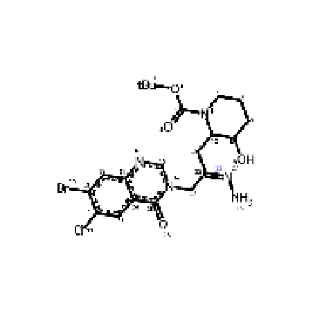 CC(C)(C)OC(=O)N1CCCC(O)C1C/C(Cn1cnc2cc(Br)c(Cl)cc2c1=O)=N/N